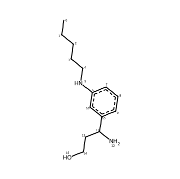 CCCCCNc1cccc(C(N)CCO)c1